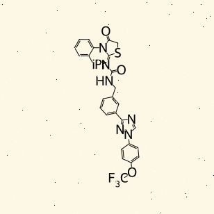 CC(C)c1ccccc1N1C(=O)CSC1=NC(=O)NCc1cccc(-c2ncn(-c3ccc(OC(F)(F)F)cc3)n2)c1